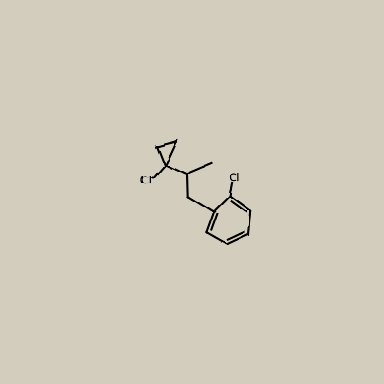 CC(Cc1ccccc1Cl)C1(Cl)CC1